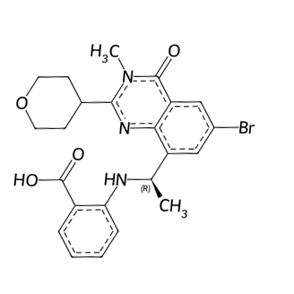 C[C@@H](Nc1ccccc1C(=O)O)c1cc(Br)cc2c(=O)n(C)c(C3CCOCC3)nc12